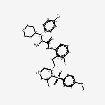 COc1ccc(S(=O)(=O)N2[C@@H](CCc3c(F)cncc3NC(=O)[C@@H](N)[C@@H](c3ccc(Cl)cc3)C3CCOCC3)CNC[C@@H]2C)cc1